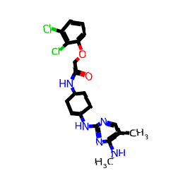 CNc1nc(NC2CCC(NC(=O)COc3cccc(Cl)c3Cl)CC2)ncc1C